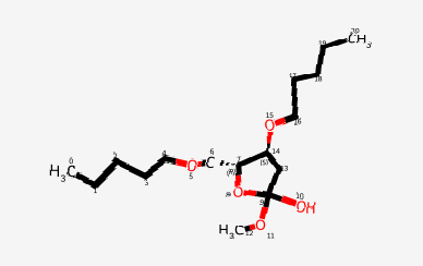 CCCCCOC[C@H]1OC(O)(OC)C[C@@H]1OCCCCC